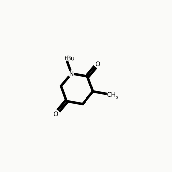 CC1CC(=O)CN(C(C)(C)C)C1=O